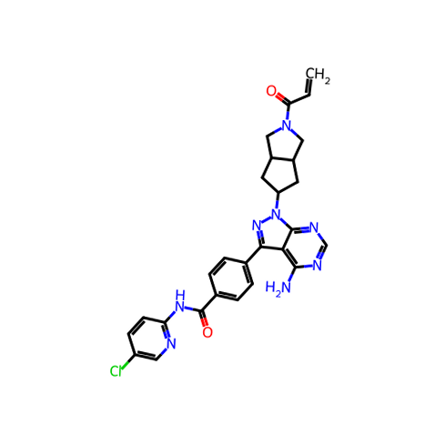 C=CC(=O)N1CC2CC(n3nc(-c4ccc(C(=O)Nc5ccc(Cl)cn5)cc4)c4c(N)ncnc43)CC2C1